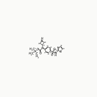 CC(C)(C)OC(=O)N(c1ccc(S(=O)(=O)Nc2nccs2)cc1)C1CNC1